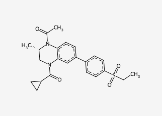 CCS(=O)(=O)c1ccc(-c2ccc3c(c2)N(C(=O)C2CC2)C[C@H](C)N3C(C)=O)cc1